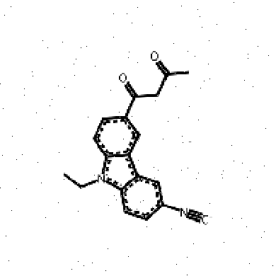 [C-]#[N+]c1ccc2c(c1)c1cc(C(=O)CC(C)=O)ccc1n2CC